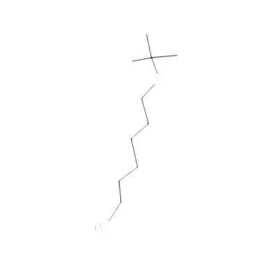 CC(C)(C)OCCCCCCS